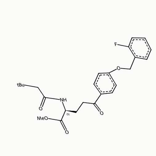 COC(=O)[C@H](CCC(=O)c1ccc(OCc2ccccc2F)cc1)NC(=O)CC(C)(C)C